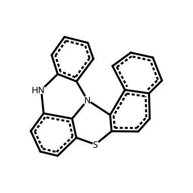 c1ccc2c(c1)Nc1cccc3c1N2c1c(ccc2ccccc12)S3